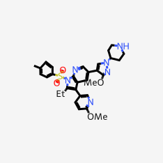 CCc1c(-c2ccc(OC)nc2)c2cc(-c3cn(C4CCNCC4)nc3OC)cnc2n1S(=O)(=O)c1ccc(C)cc1